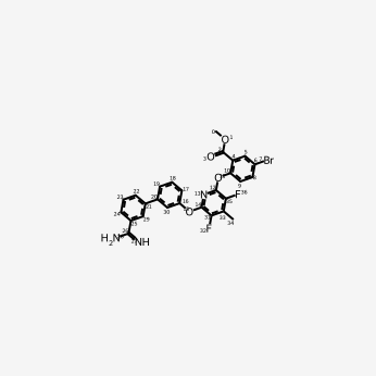 COC(=O)c1cc(Br)ccc1Oc1nc(Oc2cccc(-c3cccc(C(=N)N)c3)c2)c(F)c(C)c1F